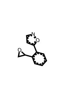 c1ccc(C2CO2)c(-c2ccno2)c1